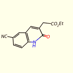 CCOC(=O)Cc1cc2cc(C#N)ccc2[nH]c1=O